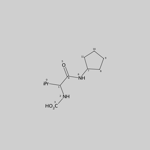 CC(C)C(NC(=O)O)C(=O)NC1CCCC1